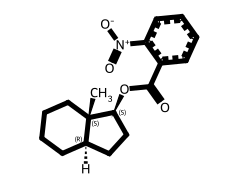 C[C@]12CCCC[C@@H]1CC[C@@H]2OC(=O)c1ccccc1[N+](=O)[O-]